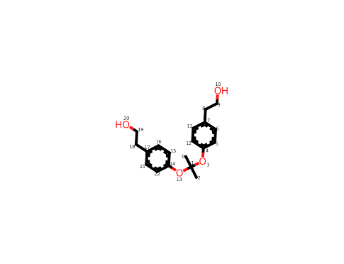 CC(C)(Oc1ccc(CCO)cc1)Oc1ccc(CCO)cc1